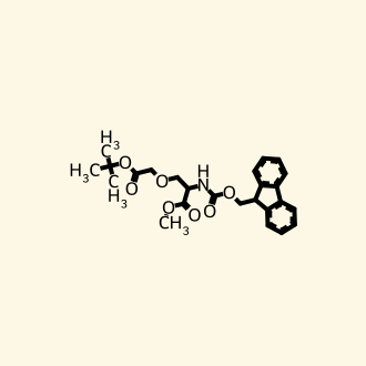 COC(=O)C(COCC(=O)OC(C)(C)C)NC(=O)OCC1c2ccccc2-c2ccccc21